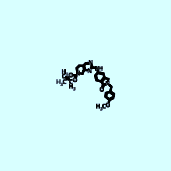 COc1ccc(CN2Cc3cc(Nc4ncc5c(n4)CN(C(=O)OC(C)(C)C)CC5)ccc3C2=O)cc1